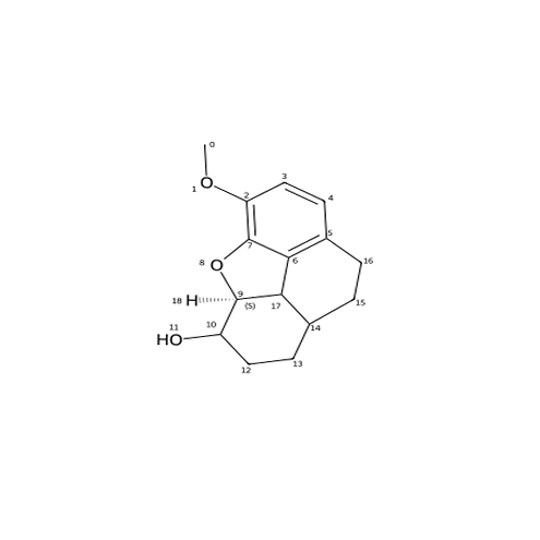 COc1ccc2c3c1O[C@@H]1C(O)CCC(CC2)C31